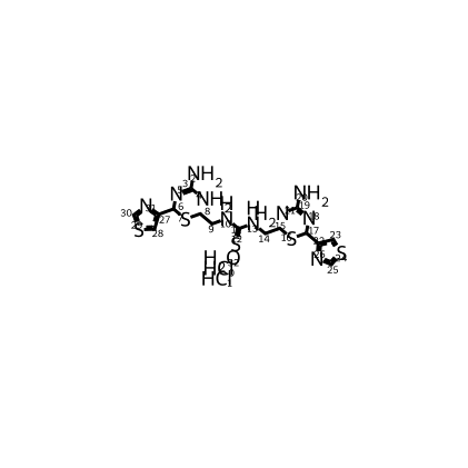 Cl.Cl.NC(N)=NC(SCCNC(=S)NCCSC(N=C(N)N)c1cscn1)c1cscn1.O